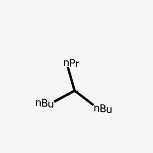 [CH2]CC[C](CCCC)CCCC